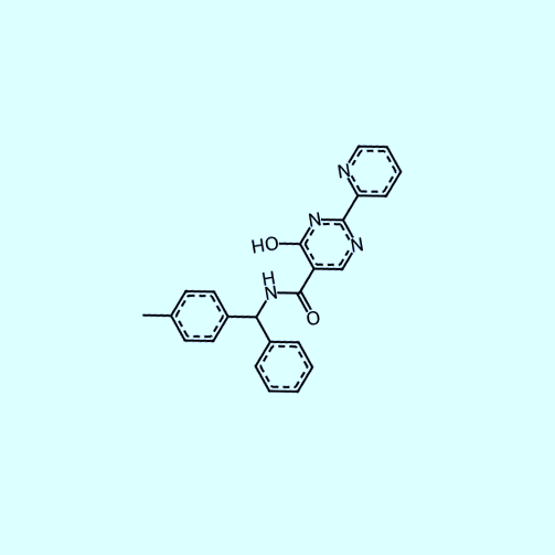 Cc1ccc(C(NC(=O)c2cnc(-c3ccccn3)nc2O)c2ccccc2)cc1